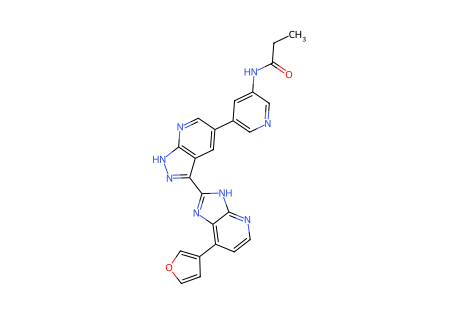 CCC(=O)Nc1cncc(-c2cnc3[nH]nc(-c4nc5c(-c6ccoc6)ccnc5[nH]4)c3c2)c1